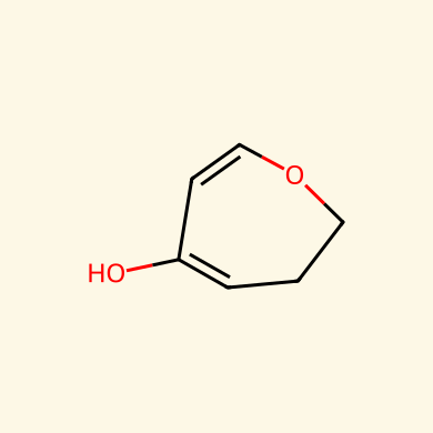 OC1=CCCOC=C1